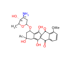 COc1cccc2c1C(=O)c1c(O)c3c(c(O)c1C2=O)CC(O)(C(C)=O)CC3OC1C[C@H](N)[C@@H](O)C(C)O1